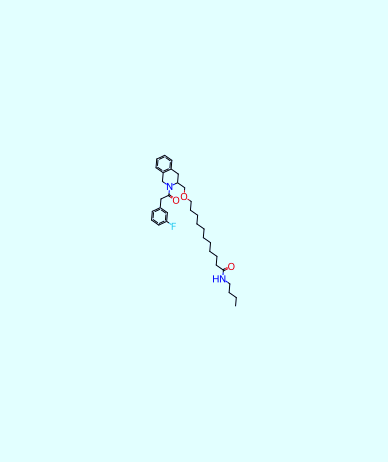 CCCCNC(=O)CCCCCCCCCCOCC1Cc2ccccc2CN1C(=O)Cc1cccc(F)c1